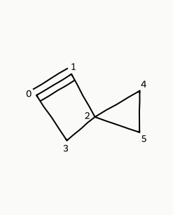 C1#CC2(C1)CC2